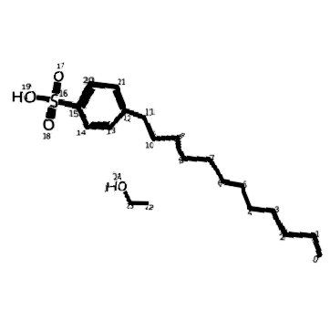 CCCCCCCCCCCCc1ccc(S(=O)(=O)O)cc1.CCO